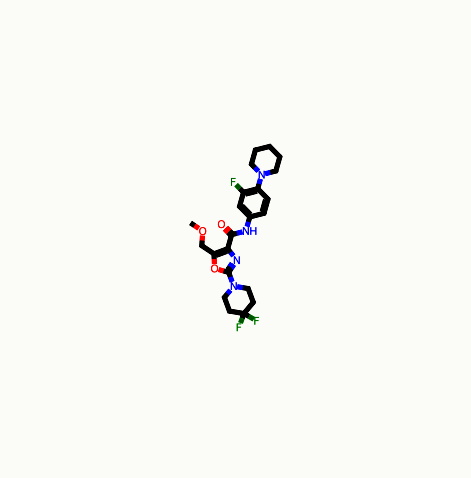 COCc1oc(N2CCC(F)(F)CC2)nc1C(=O)Nc1ccc(N2CCCCC2)c(F)c1